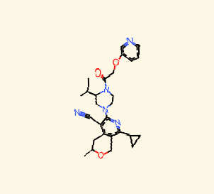 CC1Cc2c(C#N)c(N3CCN(C(=O)COc4cccnc4)C(C(C)C)C3)nc(C3CC3)c2CO1